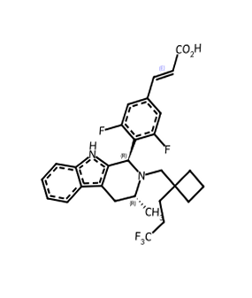 C[C@@H]1Cc2c([nH]c3ccccc23)[C@@H](c2c(F)cc(/C=C/C(=O)O)cc2F)N1CC1(CCC(F)(F)F)CCC1